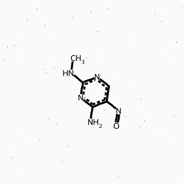 CNc1ncc(N=O)c(N)n1